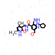 Cc1cc(C)c(CNC(=O)c2cc(C=O)cc(NC3CCCC3)c2C=N)c(=O)[nH]1